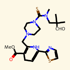 COC(=O)C1=C(CN2CCN(C(=S)N(C)CC(C)(C)C=O)CC2)NC(c2nccs2)=CC1